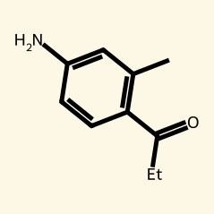 CCC(=O)c1ccc(N)cc1C